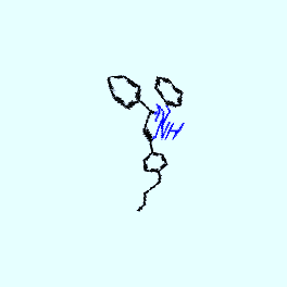 CCCCc1ccc(C2=CC(c3ccccc3)N(c3ccccc3)N2)cc1